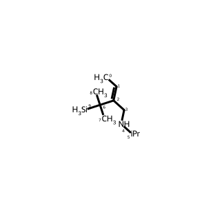 CC=C(CNC(C)C)C(C)(C)[SiH3]